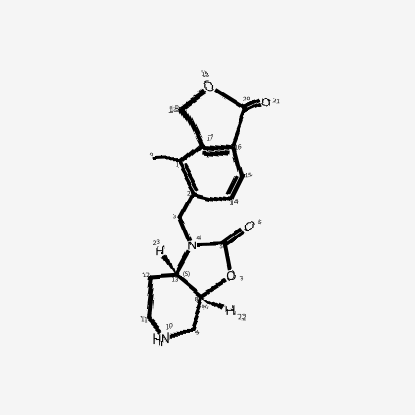 Cc1c(CN2C(=O)O[C@@H]3CNCC[C@@H]32)ccc2c1COC2=O